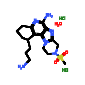 CS(=O)(=O)N1CCn2c(nc3c(N)nc4c(c32)C(CCCN)CCC4)C1.Cl.Cl.O